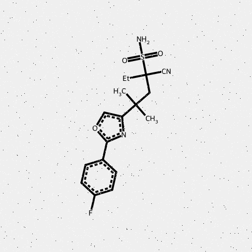 CCC(C#N)(CC(C)(C)c1coc(-c2ccc(F)cc2)n1)S(N)(=O)=O